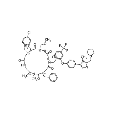 COC[C@@H]1NC(=O)[C@H](C)N(Cc2ccc(C(F)(F)F)cc2Oc2ccc(-c3cnc(CN4CCCC4)n3C)cc2)C(=O)C[C@@H](Cc2ccccc2)C(=O)N(C)[C@@H](C)CNC(=O)C[C@H](Cc2ccc(Cl)cc2)N(C)C1=O